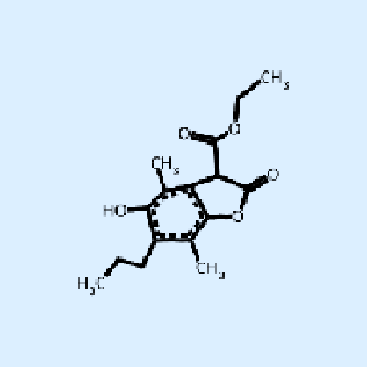 CCCc1c(C)c2c(c(C)c1O)C(C(=O)OCC)C(=O)O2